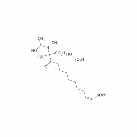 CCCCCCCC/C=C\CCCCCCCC(=O)C(C)(C(=O)O)N(C)C(C)O.O=S(=O)(O)O